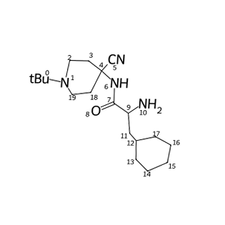 CC(C)(C)N1CCC(C#N)(NC(=O)C(N)CC2CCCCC2)CC1